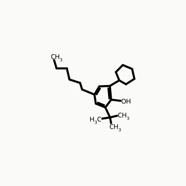 CCCCCCc1cc(C2CCCCC2)c(O)c(C(C)(C)C)c1